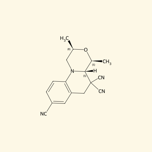 C[C@@H]1CN2c3ccc(C#N)cc3CC(C#N)(C#N)[C@H]2[C@H](C)O1